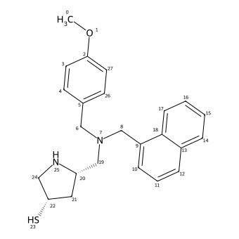 COc1ccc(CN(Cc2cccc3ccccc23)C[C@@H]2C[C@H](S)CN2)cc1